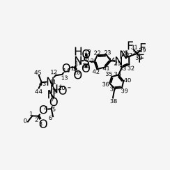 CCC(=O)OC(C)ON=[N+]([O-])N(CCOC(=O)NS(=O)(=O)c1ccc(-n2nc(C(F)(F)F)cc2-c2ccc(C)cc2)cc1)C(C)C